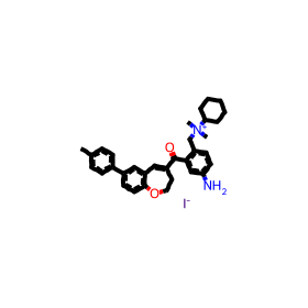 Cc1ccc(-c2ccc3c(c2)C=C(C(=O)c2cc(N)ccc2C[N+](C)(C)C2CCCCC2)CCO3)cc1.[I-]